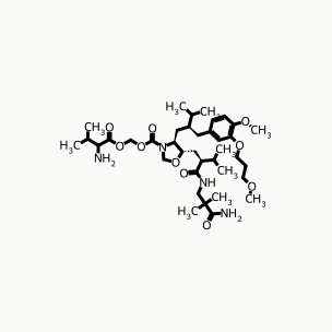 COCCCOc1cc(C[C@@H](C[C@H]2[C@H](C[C@H](C(=O)NCC(C)(C)C(N)=O)C(C)C)OCN2C(=O)OCOC(=O)C(N)C(C)C)C(C)C)ccc1OC